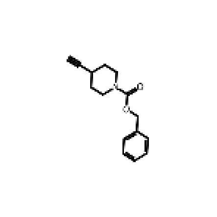 C#CC1CCN(C(=O)OCc2ccccc2)CC1